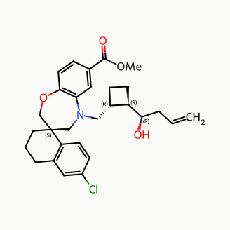 C=CC[C@@H](O)[C@@H]1CC[C@H]1CN1C[C@@]2(CCCc3cc(Cl)ccc32)COc2ccc(C(=O)OC)cc21